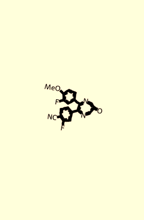 COc1ccc(-c2ncc(=O)cnc2-c2ccc(C#N)c(F)c2)cc1F